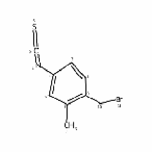 Cc1cc(N=C=S)ccc1CBr